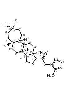 Cc1nnnn1CC(=O)[C@H]1CC[C@H]2[C@@H]3CC[C@@H]4CC[C@](C)(O)CC[C@@H]4[C@H]3CC[C@]12C